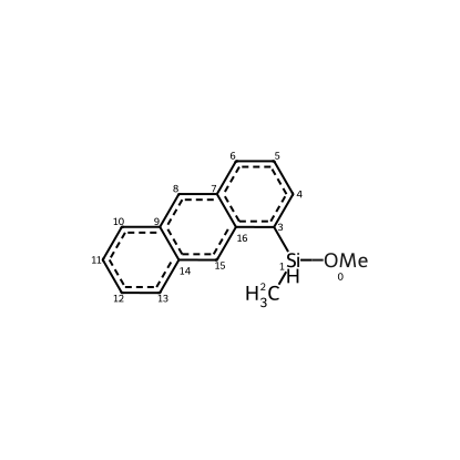 CO[SiH](C)c1cccc2cc3ccccc3cc12